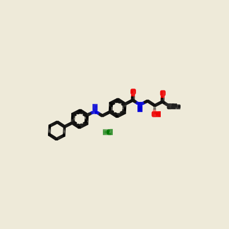 COC(=O)[C@H](O)CNC(=O)c1ccc(CNc2ccc(C3CCCCC3)cc2)cc1.Cl